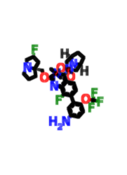 CC(C)(C)OC(=O)N1[C@@H]2CC[C@H]1CN(c1nc(OC[C@@]34CCCN3C[C@H](F)C4)nc3c(F)c(-c4cc(N)ccc4OC(F)(F)F)ccc13)C2